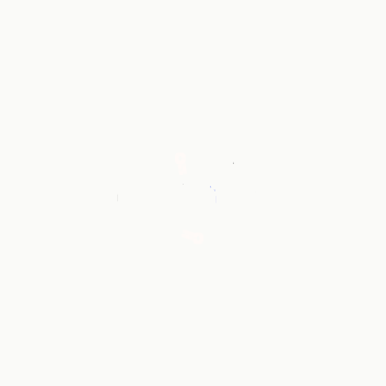 CC([C]=O)C(=O)NC(C)(C)C